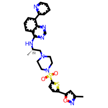 Cc1cc(-c2ccc(S(=O)(=O)N3CCN(C[C@H](C)Nc4ncnc5c(-c6ccccn6)cccc45)CC3)s2)on1